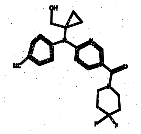 N#Cc1ccc(N(c2ccc(C(=O)N3CCC(F)(F)CC3)cn2)C2(CO)CC2)cc1